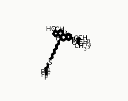 CC1(C)OB(c2ccc3c(c2)C[C@@H](CCCCCCCCCSCCCC(F)(F)C(F)(F)F)[C@@H]2C3CC[C@]3(C)[C@@H](O)CC[C@@H]23)OC1(C)C